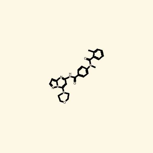 Cc1ccccc1C(=O)N(C)c1ccc(C(=O)Nc2cc(N3CCOCC3)n3nccc3n2)cc1